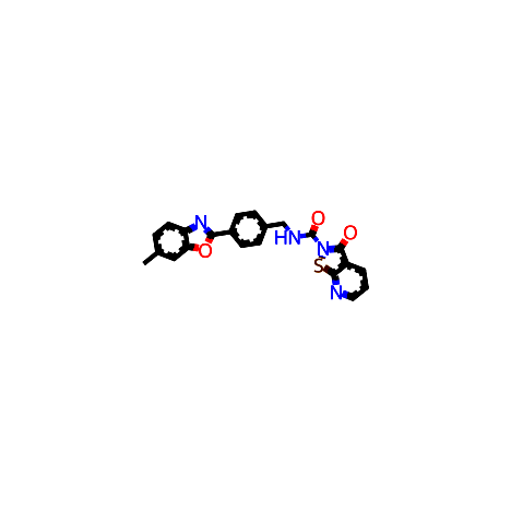 Cc1ccc2nc(-c3ccc(CNC(=O)n4sc5ncccc5c4=O)cc3)oc2c1